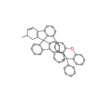 CC1C=CC2=C(C1)C1(c3ccccc3-c3c1ccc1ccccc31)c1c2cccc1-c1ccc2c(c1)Oc1ccccc1C2(C)c1ccccc1